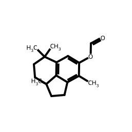 Cc1c(OC=O)cc2c3c1CCC3(C)CCC2(C)C